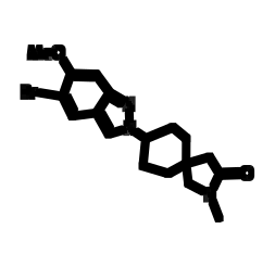 COc1cc2nn(C3CCC4(CC3)CC(=O)N(C)C4)cc2cc1Br